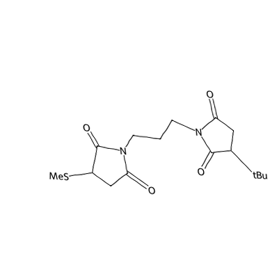 CSC1CC(=O)N(CCCN2C(=O)CC(C(C)(C)C)C2=O)C1=O